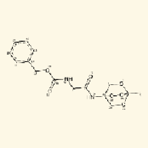 CC12OCC(NC(=O)CNC(=O)OCc3ccccc3)(CO1)CO2